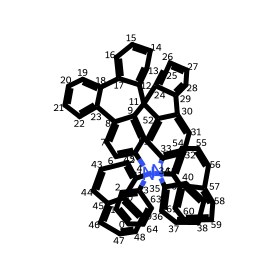 c1ccc(N(c2ccc3c(c2)C2(c4ccccc4-c4ccccc4-3)c3ccccc3-c3ccc(N(c4ccccc4)c4cccc5ccccc45)cc32)c2cccc3ccccc23)cc1